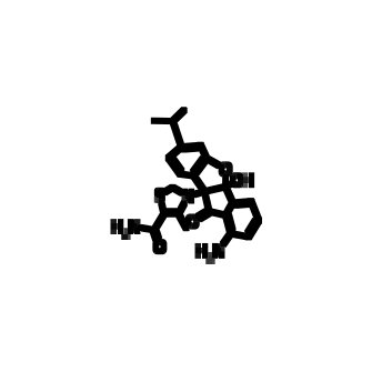 CC1=C(C(N)=O)SCN1C12C(=O)c3c(N)cccc3C1(O)Oc1cc(C(C)C)ccc12